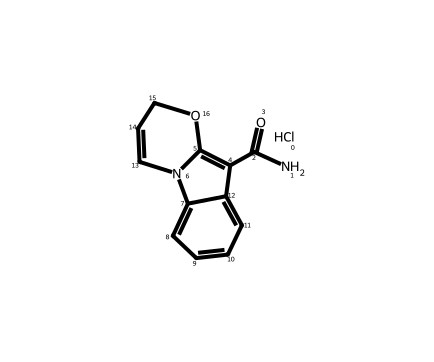 Cl.NC(=O)c1c2n(c3ccccc13)C=CCO2